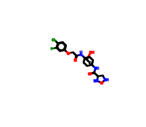 O=C(COc1ccc(Cl)c(F)c1)NC12CCC(NC(=O)C3CNON3)(CC1)CC2O